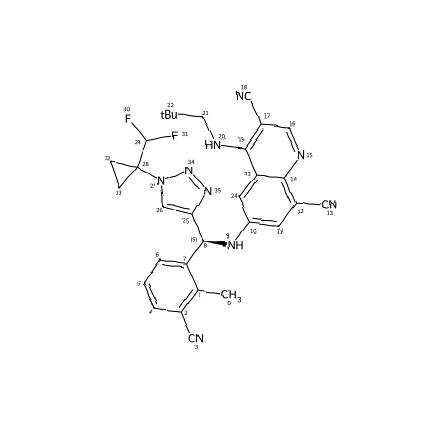 Cc1c(C#N)cccc1[C@H](Nc1cc(C#N)c2ncc(C#N)c(NCC(C)(C)C)c2c1)c1cn(C2(C(F)F)CC2)nn1